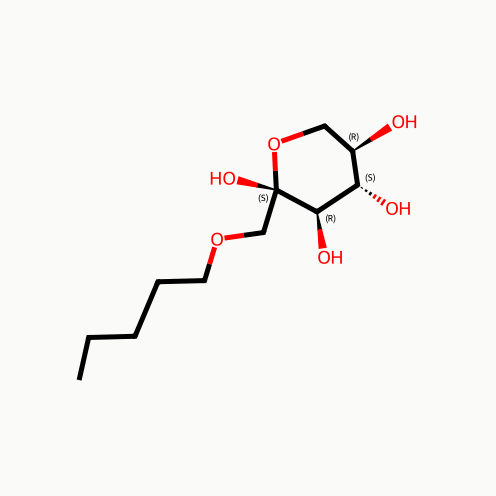 CCCCCOC[C@]1(O)OC[C@@H](O)[C@H](O)[C@H]1O